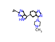 CN1CCN(c2ncnc3ccc(-c4c[nH]c5nc(C6CC6)ncc45)cc23)CC1